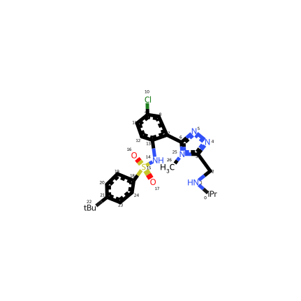 CC(C)NCc1nnc(-c2cc(Cl)ccc2NS(=O)(=O)c2ccc(C(C)(C)C)cc2)n1C